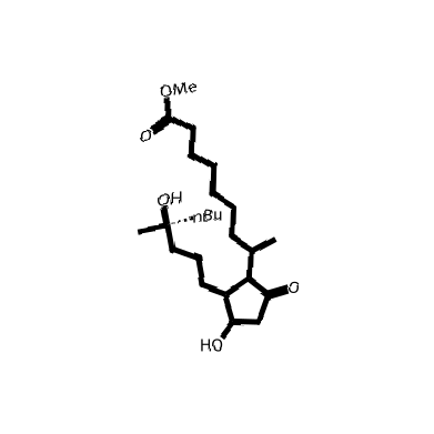 CCCC[C@](C)(O)CCCC1C(O)CC(=O)C1C(C)CCCCCCC(=O)OC